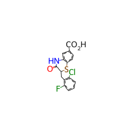 O=C(O)c1ccc2c(c1)NC(=O)C(Cc1c(F)cccc1Cl)S2